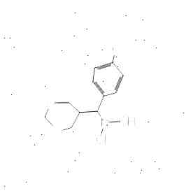 CN(C)C(c1ccc(Cl)cc1)C1COCOC1